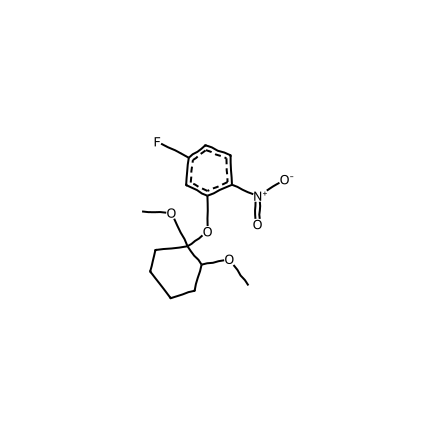 COC1CCCCC1(OC)Oc1cc(F)ccc1[N+](=O)[O-]